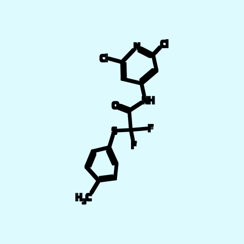 Cc1ccc(SC(F)(F)C(=O)Nc2cc(Cl)nc(Cl)c2)cc1